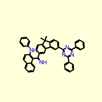 CC1(C)c2ccc(C(=N)c3c(Nc4ccccc4)ccc4ccccc34)cc2-c2cc(-c3nc(-c4ccccc4)nc(-c4ccccc4)n3)ccc21